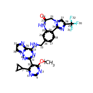 COc1ncnc(C2CC2)c1-c1nc(NCc2ccc3c(c2)NC(=O)Cn2cc(C(F)(F)F)nc2-3)c2nccn2n1